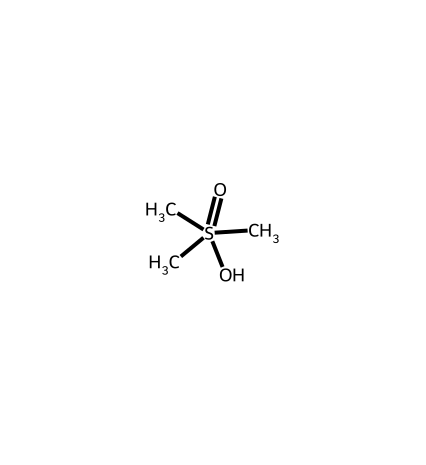 CS(C)(C)(=O)O